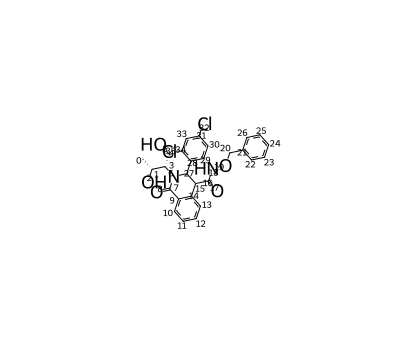 C[C@@H](O)[C@H](CO)N1C(=O)c2ccccc2C(C(=O)NOCc2ccccc2)C1c1ccc(Cl)cc1Cl